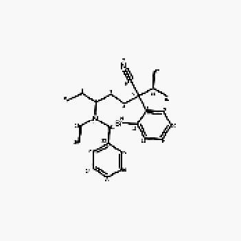 CCC(CCC(C#N)(c1ccccc1Br)C(C)C)N(CC)Cc1ccccc1